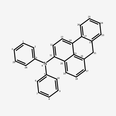 c1ccc(N(c2ccccc2)c2ccc3c4c(cccc24)Cc2ccccc2-3)cc1